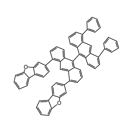 c1ccc(-c2cccc3c(-c4c5cccc(-c6ccc7c(c6)oc6ccccc67)c5cc5c(-c6ccc7c(c6)oc6ccccc67)cccc45)c4cccc(-c5ccccc5)c4cc23)cc1